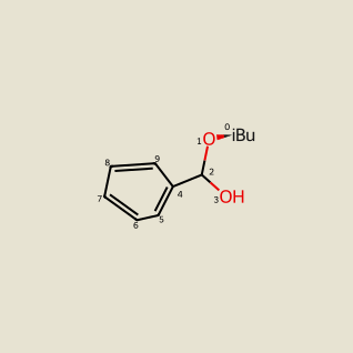 CC[C@H](C)OC(O)c1ccccc1